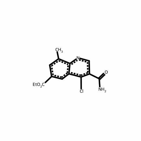 CCOC(=O)c1cc(C)c2ncc(C(N)=O)c(Cl)c2c1